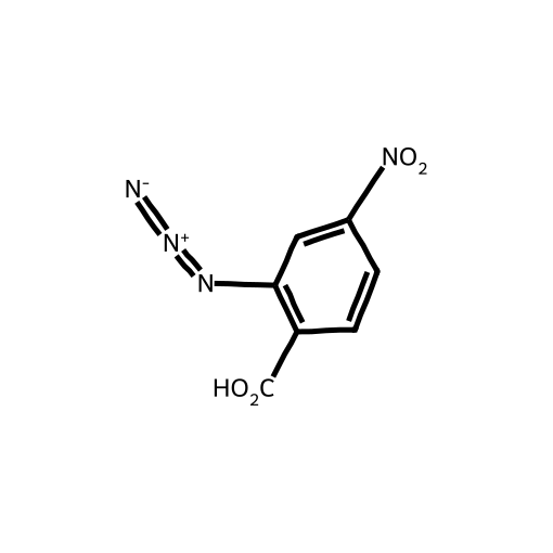 [N-]=[N+]=Nc1cc([N+](=O)[O-])ccc1C(=O)O